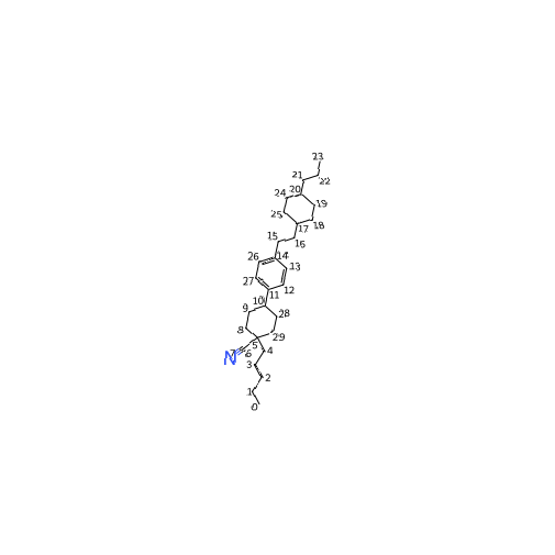 CCCCCC1(C#N)CCC(c2ccc(CCC3CCC(CCC)CC3)cc2)CC1